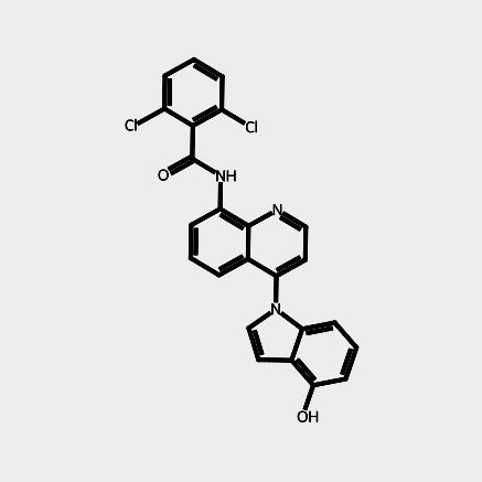 O=C(Nc1cccc2c(-n3ccc4c(O)cccc43)ccnc12)c1c(Cl)cccc1Cl